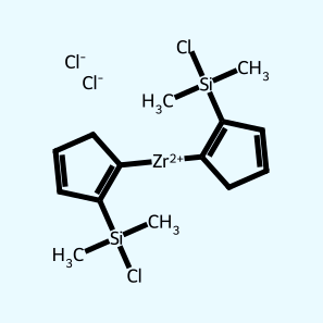 C[Si](C)(Cl)C1=[C]([Zr+2][C]2=C([Si](C)(C)Cl)C=CC2)CC=C1.[Cl-].[Cl-]